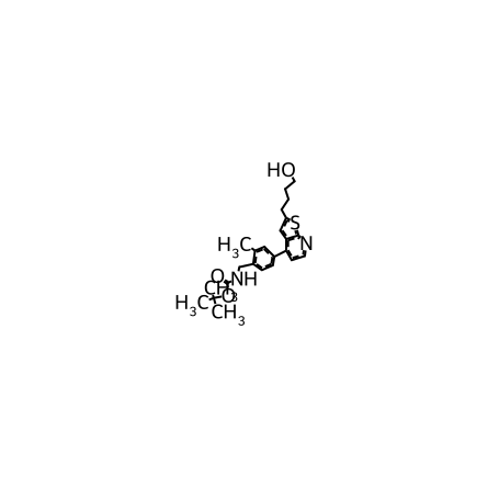 Cc1cc(-c2ccnc3sc(CCCCO)cc23)ccc1CNC(=O)OC(C)(C)C